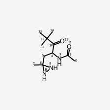 CC(=O)NC(CC1(C)NN1)C(=O)C(C)(C)C